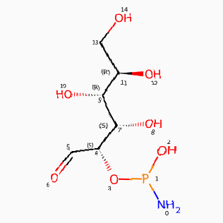 NP(O)O[C@H](C=O)[C@@H](O)[C@H](O)[C@H](O)CO